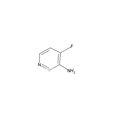 Nc1[c]nccc1F